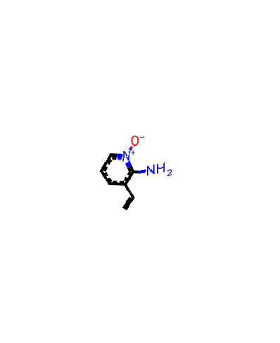 C=Cc1ccc[n+]([O-])c1N